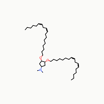 CCCCC/C=C\C/C=C\CCCCCCCCO[C@@H]1C[C@H](N(C)C)C[C@@H]1OCCCCCCC/C=C\C/C=C\CCCCC